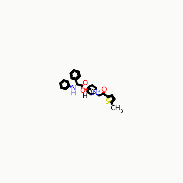 Cc1ccc(C(=O)C[N+]23CCC(CC2)[C@@H](OC(=O)[C@H](Nc2ccccc2)c2ccccc2)C3)s1